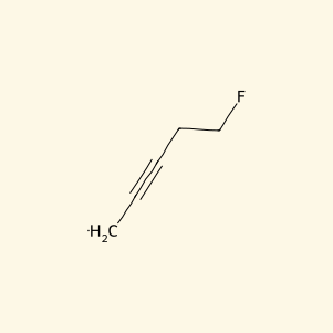 [CH2]C#CCCF